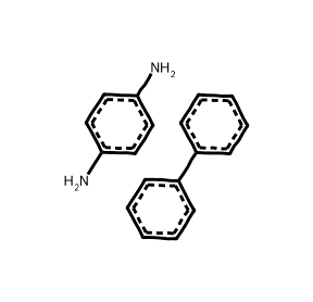 Nc1ccc(N)cc1.c1ccc(-c2ccccc2)cc1